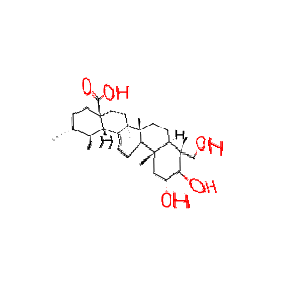 C[C@H]1[C@H](C)CC[C@]2(C(=O)O)CC[C@]3(C)C(=CCC4[C@@]5(C)C[C@@H](O)[C@H](O)[C@@](C)(CO)[C@@H]5CC[C@]43C)[C@H]12